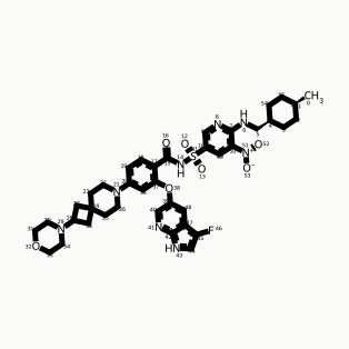 C[C@H]1CC[C@@H](CNc2ncc(S(=O)(=O)NC(=O)c3ccc(N4CCC5(CC4)CC(N4CCOCC4)C5)cc3Oc3cnc4[nH]cc(F)c4c3)cc2[N+](=O)[O-])CC1